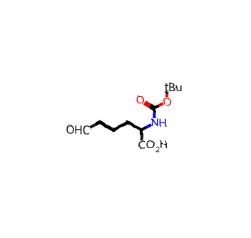 CC(C)(C)OC(=O)NC(CCCC=O)C(=O)O